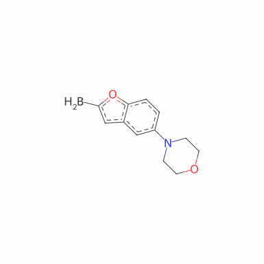 Bc1cc2cc(N3CCOCC3)ccc2o1